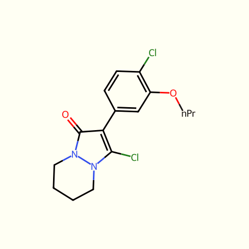 CCCOc1cc(-c2c(Cl)n3n(c2=O)CCCC3)ccc1Cl